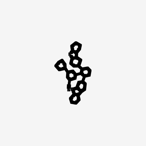 N#Cc1cc(-c2ccccc2)cc(-c2c(-c3ccc4c(c3)oc3ccccc34)cccc2-c2ccc3sc4ccccc4c3c2)c1